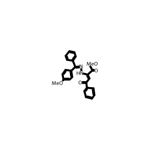 COC(=O)C(=CC(=O)c1ccccc1)NN=C(c1ccccc1)c1ccc(OC)cc1